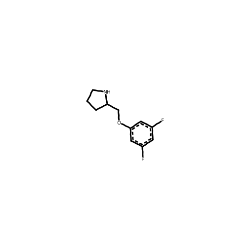 Fc1cc(F)cc(OCC2CCCN2)c1